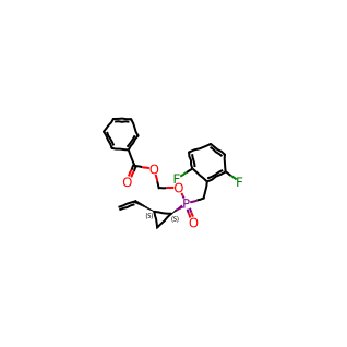 C=C[C@@H]1C[C@@H]1P(=O)(Cc1c(F)cccc1F)OCOC(=O)c1ccccc1